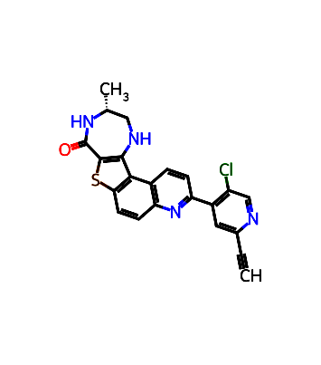 C#Cc1cc(-c2ccc3c(ccc4sc5c(c43)NC[C@@H](C)NC5=O)n2)c(Cl)cn1